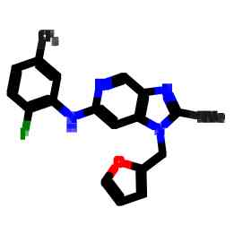 CNc1nc2cnc(Nc3cc(C(F)(F)F)ccc3F)cc2n1Cc1ccco1